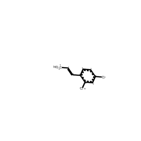 O=C(O)C=Cc1ccc(Cl)cc1Cl